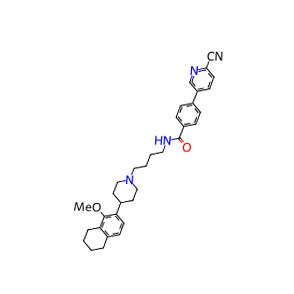 COc1c(C2CCN(CCCCNC(=O)c3ccc(-c4ccc(C#N)nc4)cc3)CC2)ccc2c1CCCC2